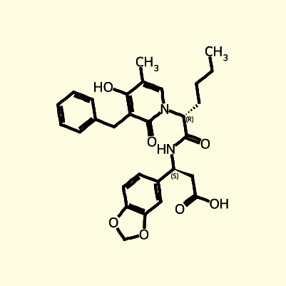 CCCC[C@H](C(=O)N[C@@H](CC(=O)O)c1ccc2c(c1)OCO2)n1cc(C)c(O)c(Cc2ccccc2)c1=O